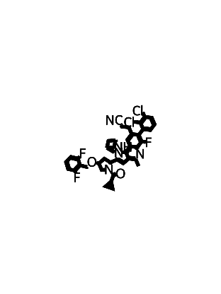 Cc1nc2c(F)c(-c3cccc(Cl)c3Cl)c(CCC#N)cc2c2c1cc(C1CC(OCc3c(F)cccc3F)CN1C(=O)C1CC1)n2C1C2CNC1C2